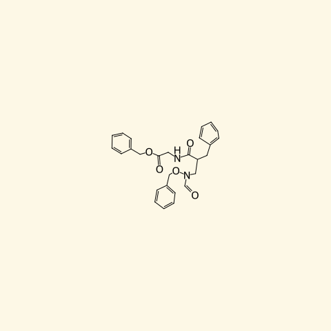 O=CN(CC(Cc1ccccc1)C(=O)NCC(=O)OCc1ccccc1)OCc1ccccc1